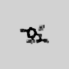 CC(C)(C)c1ccc(OC(=O)C(F)(F)F)c(C(=O)O)c1.[LiH].[LiH]